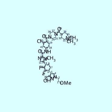 COCCn1cc(-c2ccc(-c3cnc(C(=O)Nc4ccc(C(=O)N5CCN(C(=O)C6CC[N+](C)(C)CC6)CC5)c(Cl)c4)n3C)c(F)c2F)c(CO)n1